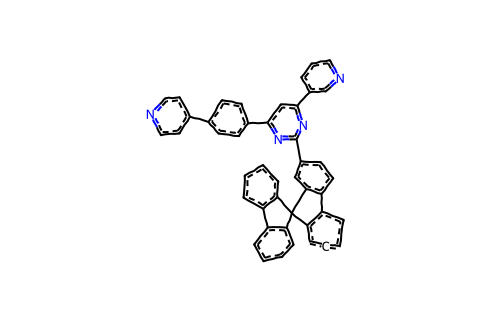 c1cncc(-c2cc(-c3ccc(-c4ccncc4)cc3)nc(-c3ccc4c(c3)C3(c5ccccc5-c5ccccc53)c3ccccc3-4)n2)c1